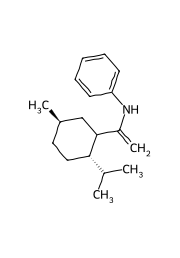 C=C(Nc1ccccc1)C1C[C@H](C)CC[C@H]1C(C)C